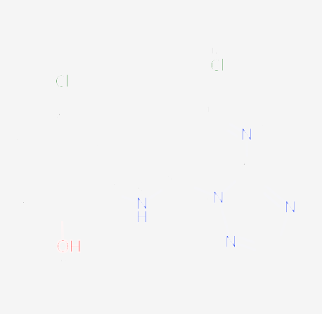 Oc1ccc(Cl)cc1Nc1cc(Cl)nc2ncnn12